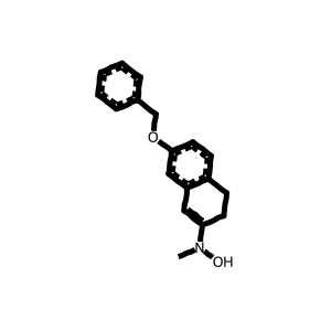 CN(O)C1=Cc2cc(OCc3ccccc3)ccc2CC1